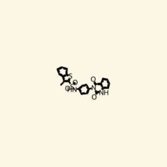 Cc1c(S(=O)(=O)Nc2ccc(-n3c(=O)[nH]c4ccccc4c3=O)cc2)sc2ccccc12